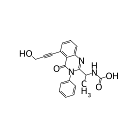 CC(NC(=O)O)c1nc2cccc(C#CCO)c2c(=O)n1-c1ccccc1